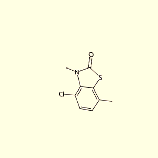 Cc1ccc(Cl)c2c1sc(=O)n2C